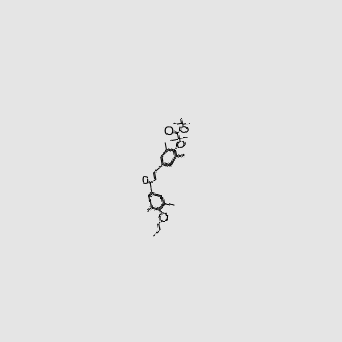 CCCOc1c(C)cc(C(=O)C=Cc2cc(C)c(OC(C)(C)C(=O)OC(C)(C)C)c(C)c2)cc1C